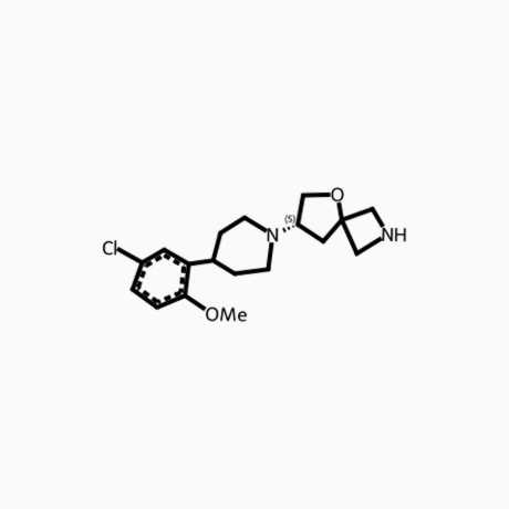 COc1ccc(Cl)cc1C1CCN([C@@H]2COC3(CNC3)C2)CC1